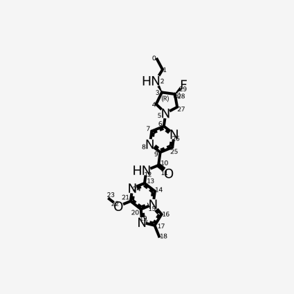 CCN[C@@H]1CN(c2cnc(C(=O)Nc3cn4cc(C)nc4c(OC)n3)cn2)C[C@@H]1F